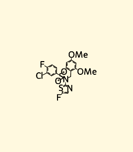 COc1ccc(CN(c2ncc(F)s2)S(=O)(=O)c2ccc(F)c(Cl)c2)c(OC)c1